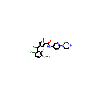 COc1ccc(Cl)c(C(=O)c2c[nH]c(C(=O)Nc3ccc(N4CCNCC4)nc3)c2)c1F